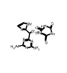 CCC(c1nc(N)nc(N)n1)c1ncc[nH]1.O=c1[nH]c(=O)[nH]c(=O)[nH]1